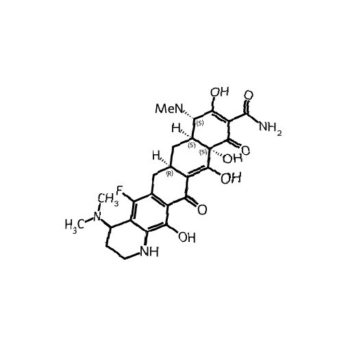 CN[C@@H]1C(O)=C(C(N)=O)C(=O)[C@@]2(O)C(O)=C3C(=O)c4c(O)c5c(c(F)c4C[C@H]3C[C@@H]12)C(N(C)C)CCN5